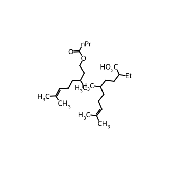 CCC(CCC(C)CCC=C(C)C)C(=O)O.CCCC(=O)OCCC(C)CCC=C(C)C